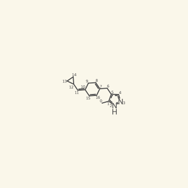 Cc1[nH]ncc1CC1=CCC(=CC2CC2)C=C1